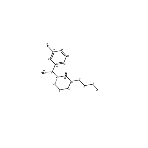 CCCCC1CCC[C@H]([C@H](O)c2cccc(F)c2)N1